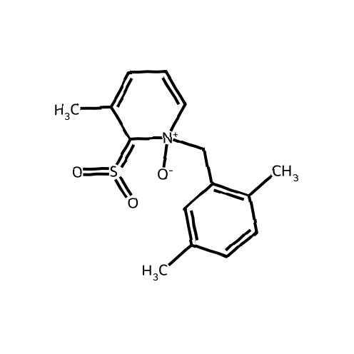 CC1=CC=C[N+]([O-])(Cc2cc(C)ccc2C)C1=S(=O)=O